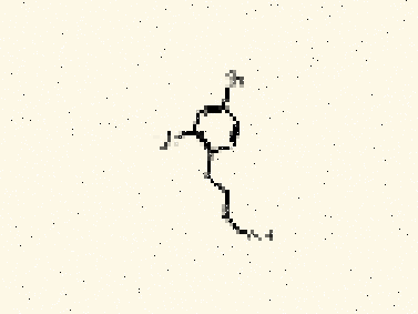 Nc1cc(S)ccc1CCCC(=O)O